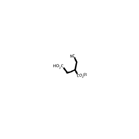 CCOC(=O)C(CC#N)CC(=O)O